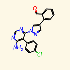 Nc1ncnc(-n2cc(-c3ccccc3C=O)cn2)c1-c1ccc(Cl)cc1